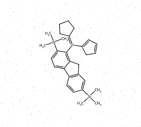 C[Si](C)(C)c1ccc2c(c1)Cc1c-2ccc([Si](C)(C)C)[c]1[Zr]([C]1=CC=CC1)=[C]1CCCC1